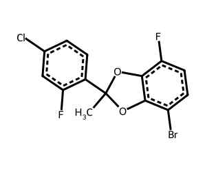 CC1(c2ccc(Cl)cc2F)Oc2c(F)ccc(Br)c2O1